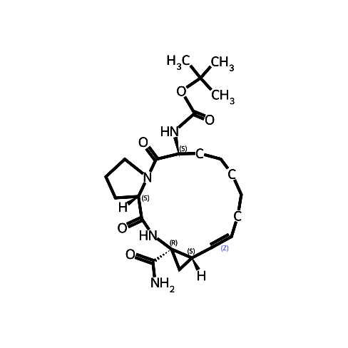 CC(C)(C)OC(=O)N[C@H]1CCCCC/C=C\[C@@H]2C[C@@]2(C(N)=O)NC(=O)[C@@H]2CCCN2C1=O